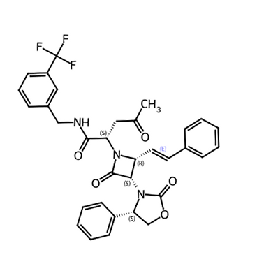 CC(=O)C[C@@H](C(=O)NCc1cccc(C(F)(F)F)c1)N1C(=O)[C@@H](N2C(=O)OC[C@@H]2c2ccccc2)[C@H]1/C=C/c1ccccc1